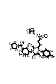 COCCCCn1c(C(=O)N(CC(C)C)[C@@H]2CNC[C@H](C(=O)N3CCCC3)C2)nc2cc(F)ccc21.Cl.Cl